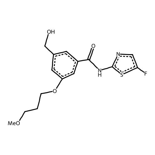 COCCCOc1cc(CO)cc(C(=O)Nc2ncc(F)s2)c1